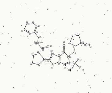 CN1CCC[C@H]1Cn1c(C(F)(F)F)nc2sc(N3CCC[C@@H]3C(=O)NCc3ccccc3)nc2c1=O